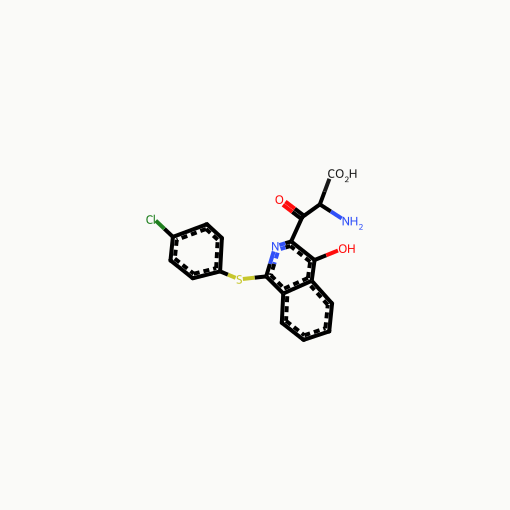 NC(C(=O)O)C(=O)c1nc(Sc2ccc(Cl)cc2)c2ccccc2c1O